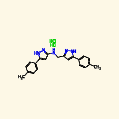 Cc1ccc(-c2cc(CNc3cc(-c4ccc(C)cc4)[nH]n3)n[nH]2)cc1.Cl.Cl